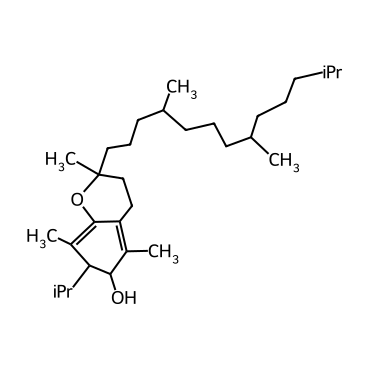 CC1=C2CCC(C)(CCCC(C)CCCC(C)CCCC(C)C)OC2=C(C)C(C(C)C)C1O